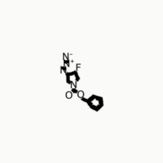 [N-]=[N+]=NC1CN(C(=O)OCc2ccccc2)CC1F